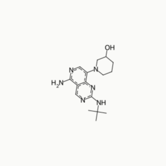 CC(C)(C)Nc1ncc2c(N)ncc(N3CCCC(O)C3)c2n1